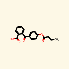 CCCC(=O)Oc1ccc(C(=O)c2ccccc2C(=O)O)cc1